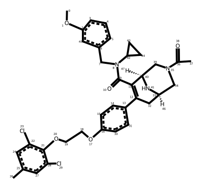 COc1cccc(CN(C(=O)C2=C(c3ccc(OCCOc4c(Cl)cc(C)cc4Cl)cc3)C[C@@H]3CN(C(C)=O)C[C@H]2N3)C2CC2)c1